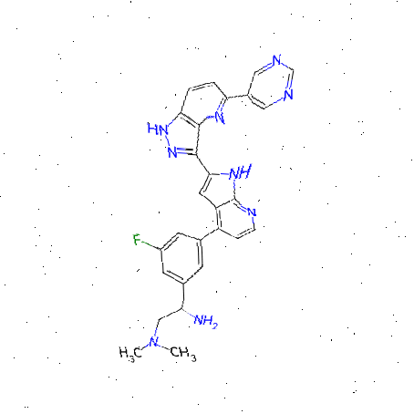 CN(C)CC(N)c1cc(F)cc(-c2ccnc3[nH]c(-c4n[nH]c5ccc(-c6cncnc6)nc45)cc23)c1